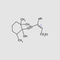 CCC/C(C#CC1(O)C(C)CCCC1(C)C)=C/C(=O)OCC